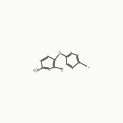 O=[N+]([O-])c1ccc(Oc2ccc(F)cc2)c(Br)c1